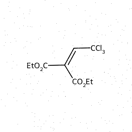 CCOC(=O)C(=CC(Cl)(Cl)Cl)C(=O)OCC